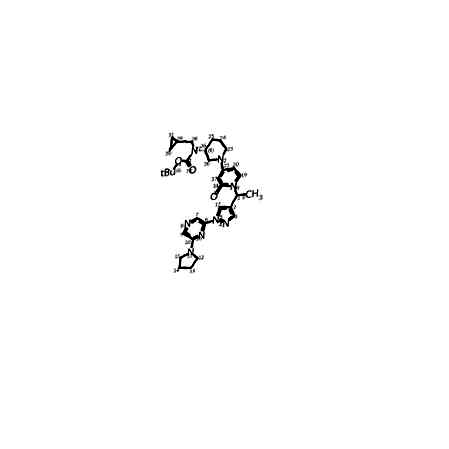 CC(c1cnn(-c2cncc(N3CCCC3)n2)c1)n1ccc(N2CCC[C@@H](N(CC3CC3)C(=O)OC(C)(C)C)C2)cc1=O